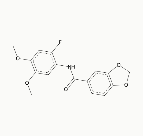 COc1cc(F)c(NC(=O)c2ccc3c(c2)OCO3)cc1OC